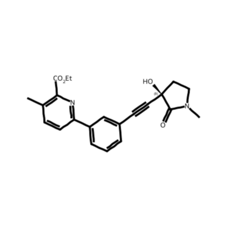 CCOC(=O)c1nc(-c2cccc(C#C[C@]3(O)CCN(C)C3=O)c2)ccc1C